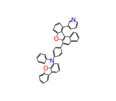 c1ccc(N(c2ccc(-c3cc4ccccc4c4c3oc3cccc(-c5cccnc5)c34)cc2)c2cccc3c2oc2ccccc23)cc1